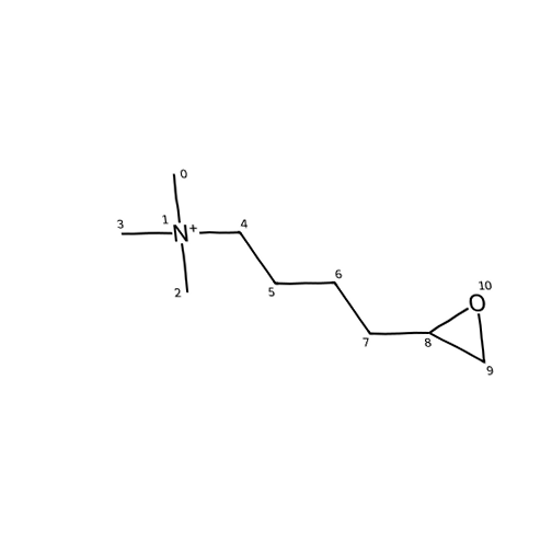 C[N+](C)(C)CCCCC1CO1